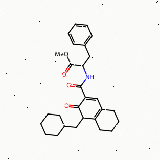 COC(=O)C(Cc1ccccc1)NC(=O)C1=CC2=C(CCCC2)C(CC2CCCCC2)C1=O